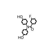 O=C(c1cccc(F)c1)N(c1ccc(O)cc1)c1ccc(O)cc1